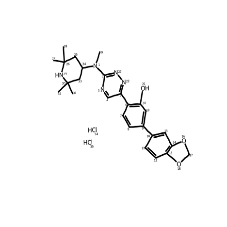 CN(c1ncc(-c2ccc(-c3ccc4c(c3)OCO4)cc2O)nn1)C1CC(C)(C)NC(C)(C)C1.Cl.Cl